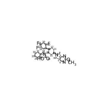 COc1ncc2c(n1)CN([C@H]1CC[C@H](c3cc(F)c(F)cc3F)[C@@H](N(Cc3ccccc3)C(=O)O)C1)C2